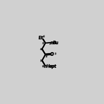 CCCCCCCCC(=O)CC(CC)CCCC